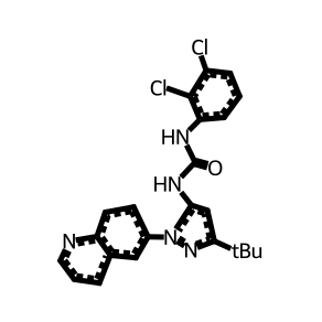 CC(C)(C)c1cc(NC(=O)Nc2cccc(Cl)c2Cl)n(-c2ccc3ncccc3c2)n1